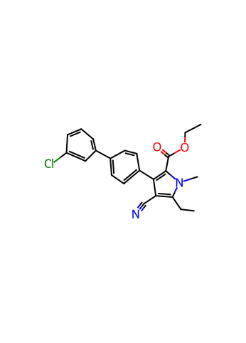 CCOC(=O)c1c(-c2ccc(-c3cccc(Cl)c3)cc2)c(C#N)c(CC)n1C